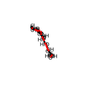 O=C(CCCCCNC(=O)CCCC[C@@H]1SC[C@@H]2NC(=O)N[C@@H]21)NCCCCCNC(=O)CC(CCCC1OCCN(c2ccc(N3C[C@H](CNC(=O)c4ccc(Cl)s4)OC3=O)cc2)C1=O)C(=O)O